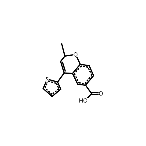 CC1C=C(c2cccs2)c2cc(C(=O)O)ccc2O1